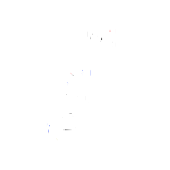 CC1C(Oc2cc(F)cc3scnc23)CN1C(=O)N[C@H]1CC[C@H](C(C)(C)O)CC1